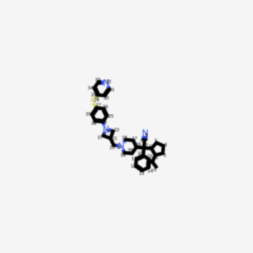 CCC1CCCC1C(C#N)(c1ccccc1)C1CCN(CC2CN(c3ccc(Sc4ccncc4)cc3)C2)CC1